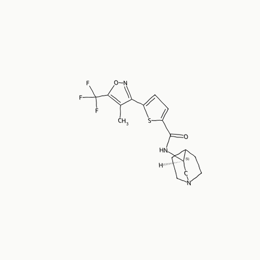 Cc1c(-c2ccc(C(=O)N[C@@H]3CN4CCC3CC4)s2)noc1C(F)(F)F